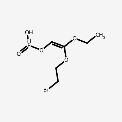 CCOC(=CO[PH](=O)O)OCCBr